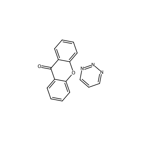 O=c1c2ccccc2oc2ccccc12.c1cnnnc1